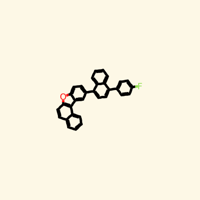 Fc1ccc(-c2ccc(-c3ccc4oc5ccc6ccccc6c5c4c3)c3ccccc23)cc1